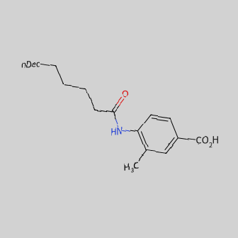 CCCCCCCCCCCCCCC(=O)Nc1ccc(C(=O)O)cc1C